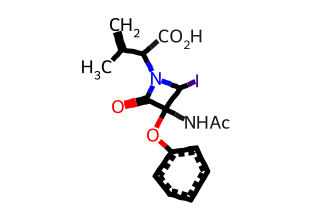 C=C(C)C(C(=O)O)N1C(=O)C(NC(C)=O)(Oc2ccccc2)C1I